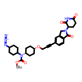 CC(C)(C)OC(=O)N(C1CCC(N=[N+]=[N-])CC1)[C@H]1CC[C@@H](OCC#Cc2ccc3c(c2)CN(C2CCC(=O)NC2=O)C3=O)CC1